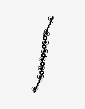 C=CC(=O)OCCCCCCOC(=O)Oc1ccc(C(=O)Oc2ccc(C(=O)Oc3ccc(OC(=O)c4ccc(OC(=O)c5ccc(OC(=O)OCCCCCOC(=O)C=C)cc5)cc4)c(C)c3)cc2)cc1